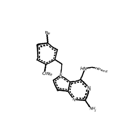 CCCCCNc1nc(N)nc2ccn(Cc3cc(Br)ccc3OC)c12